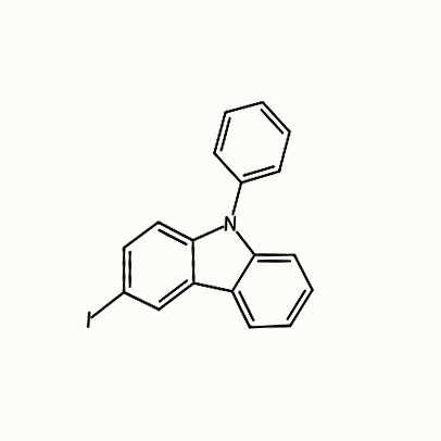 Ic1ccc2c(c1)c1ccccc1n2-c1ccccc1